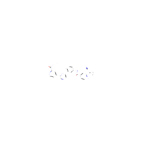 CNC(=O)c1cc(-c2cncc(-c3cc(NC(=O)c4ccnc(C5(C#N)CC5)c4)ccc3C)n2)ccn1